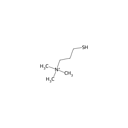 C[N+](C)(C)CCCS